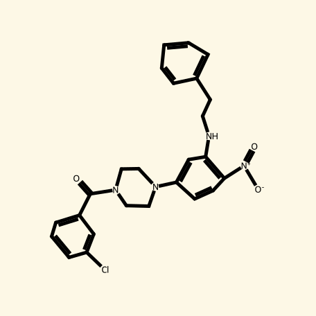 O=C(c1cccc(Cl)c1)N1CCN(c2ccc([N+](=O)[O-])c(NCCc3ccccc3)c2)CC1